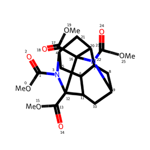 COC(=O)N1C2CC3C4CC5CC3C1(C(=O)OC)C(C(=O)OC)(C4C2)N5C(=O)OC